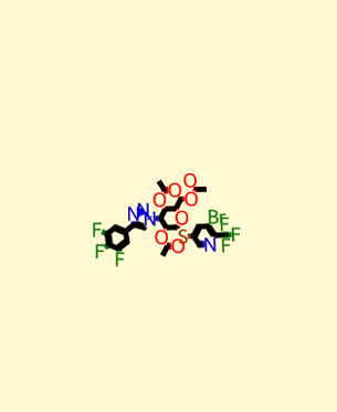 CC(=O)OCC1OC(Sc2cnc(C(F)(F)F)c(Br)c2)C(OC(C)=O)C(n2cc(-c3cc(F)c(F)c(F)c3)nn2)C1OC(C)=O